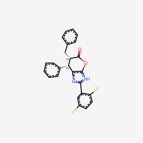 O=C1Oc2[nH]c(-c3cc(F)ccc3F)nc2[C@H](c2ccccc2)[C@@H]1Cc1ccccc1